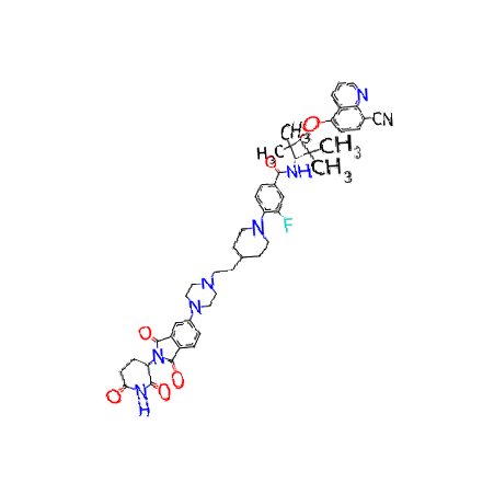 CC1(C)[C@H](NC(=O)c2ccc(N3CCC(CCN4CCN(c5ccc6c(c5)C(=O)N(C5CCC(=O)NC5=O)C6=O)CC4)CC3)c(F)c2)C(C)(C)[C@H]1Oc1ccc(C#N)c2ncccc12